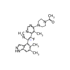 C=N/C(=C(/F)c1ncnc(N2CCN(C(C)=O)CC2)c1C)c1c(C)c(C)cc2[nH]ncc12